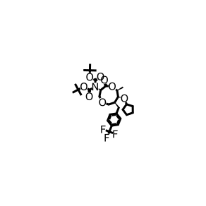 C[C@@H]1OC(=O)[C@@H](N(C(=O)OC(C)(C)C)C(=O)OC(C)(C)C)COC[C@H](Cc2ccc(C(F)(F)F)cc2)[C@H]1OC1CCCC1